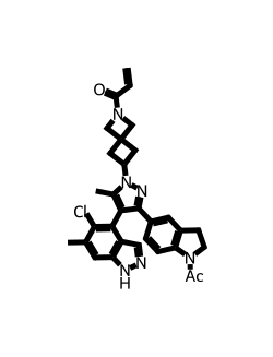 C=CC(=O)N1CC2(CC(n3nc(-c4ccc5c(c4)CCN5C(C)=O)c(-c4c(Cl)c(C)cc5[nH]ncc45)c3C)C2)C1